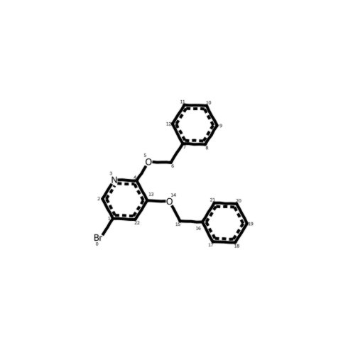 Brc1cnc(OCc2ccccc2)c(OCc2ccccc2)c1